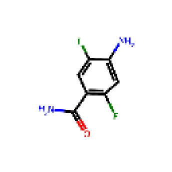 NC(=O)c1cc(F)c(N)cc1F